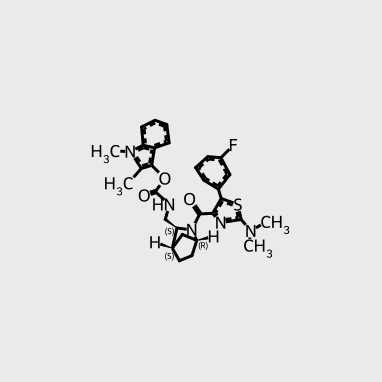 Cc1c(OC(=O)NC[C@@H]2[C@H]3CC[C@H](C3)N2C(=O)c2nc(N(C)C)sc2-c2cccc(F)c2)c2ccccc2n1C